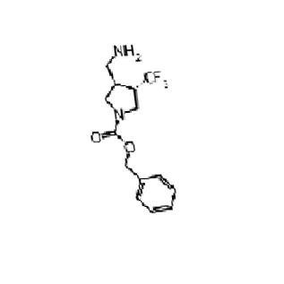 NC[C@@H]1CN(C(=O)OCc2ccccc2)C[C@H]1C(F)(F)F